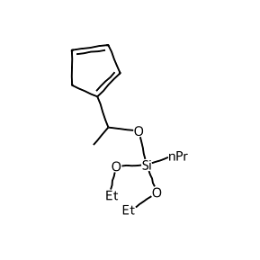 CCC[Si](OCC)(OCC)OC(C)C1=CC=CC1